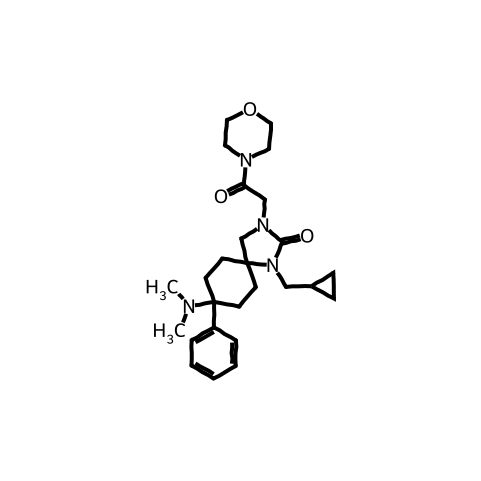 CN(C)C1(c2ccccc2)CCC2(CC1)CN(CC(=O)N1CCOCC1)C(=O)N2CC1CC1